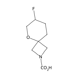 O=C(O)N1CC2(CCC(F)CO2)C1